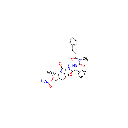 CN(C(=O)CCc1ccccc1)C(=O)NC(C(=O)NC1C(=O)N2C(C(=O)O)=C(COC(N)=O)CS[C@H]12)c1ccccc1